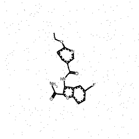 CCOc1ccc(C(=O)Nc2c(C(N)=O)oc3ccc(F)cc23)cn1